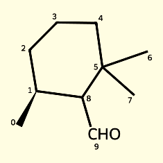 C[C@H]1CCCC(C)(C)C1C=O